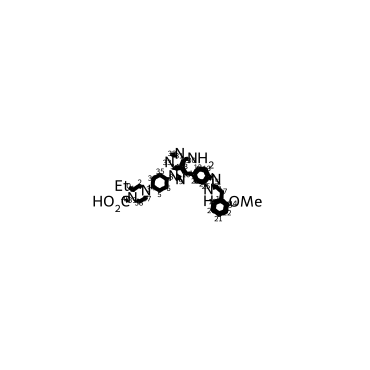 CCC1CN([C@H]2CC[C@@H](n3nc(-c4ccc5nc(Cc6ccccc6OC)[nH]c5c4)c4c(N)ncnc43)CC2)CCN1C(=O)O